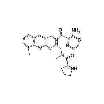 Cc1cccc2cc(CNC(=O)c3nccnc3N)c(N(C)CCN(C)C(=O)[C@@H]3CCCN3)nc12